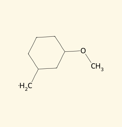 [CH2]C1CCCC(OC)C1